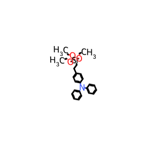 CCO[Si](CCc1ccc(N(c2ccccc2)c2ccccc2)cc1)(OCC)OCC